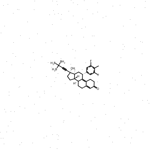 BC(B)(B)C#C[C@]1(O)CC[C@H]2[C@@H]3CCC4=CC(=O)CCC4=C3[C@@H](c3cc(F)c(C)c(F)c3)C[C@@]21C